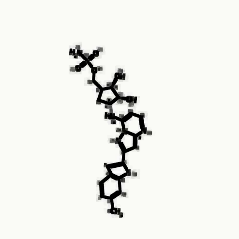 Cc1ccc2cc(-c3cc4nccc(N[C@@H]5CC(COS(N)(=O)=O)[C@@H](O)[C@H]5O)n4n3)sc2c1